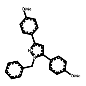 COc1ccc(-c2cc(-c3ccc(OC)cc3)n(Cc3ccccc3)n2)cc1